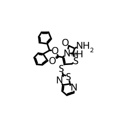 NC1C(=O)N2C(C(=O)OC(c3ccccc3)c3ccccc3)=C(Sc3nc4cccnc4s3)CS[C@@H]12